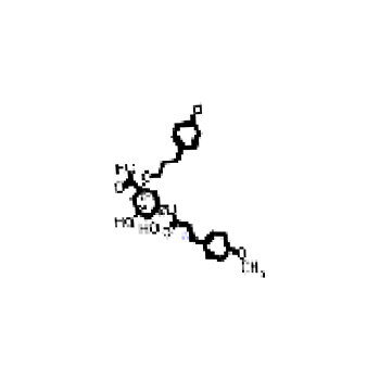 COc1ccc(/C=C/C(=O)O[C@@H]2C[C@](OCCCc3ccc(Cl)cc3)(C(=O)O)C[C@H](O)[C@H]2O)cc1